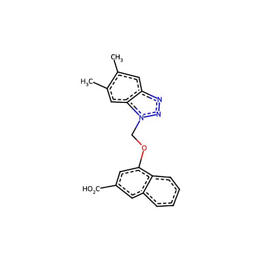 Cc1cc2nnn(COc3cc(C(=O)O)cc4ccccc34)c2cc1C